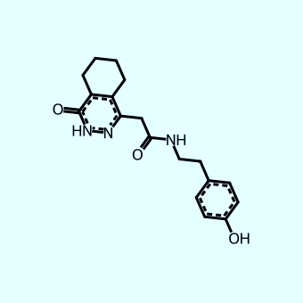 O=C(Cc1n[nH]c(=O)c2c1CCCC2)NCCc1ccc(O)cc1